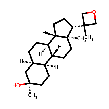 CC1([C@H]2CC[C@H]3[C@@H]4CC[C@@H]5C[C@](C)(O)CC[C@@H]5[C@H]4CC[C@]23C)COC1